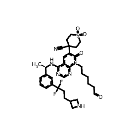 C[C@@H](Nc1ncnc2c1cc(C1(C#N)CCS(=O)(=O)CC1)c(=O)n2CCCCCC=O)c1cccc(C(F)(F)CCC2CNC2)c1